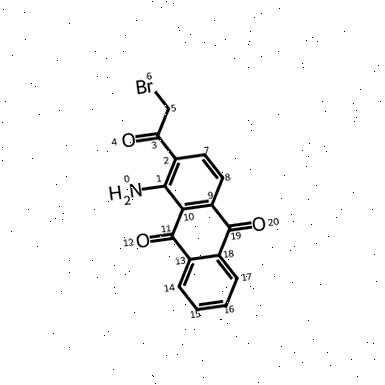 Nc1c(C(=O)CBr)ccc2c1C(=O)c1ccccc1C2=O